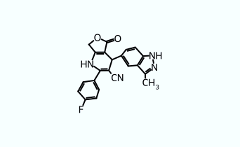 Cc1n[nH]c2ccc(C3C(C#N)=C(c4ccc(F)cc4)NC4=C3C(=O)OC4)cc12